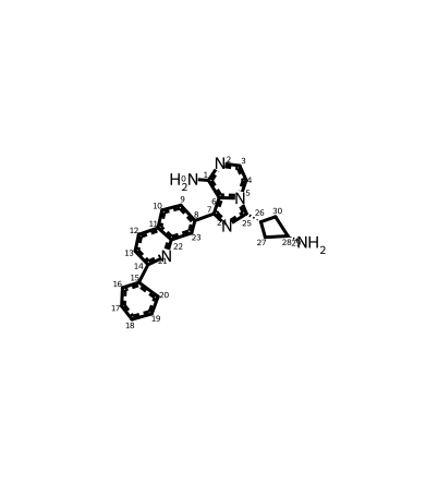 Nc1nccn2c1c(-c1ccc3ccc(-c4ccccc4)nc3c1)nc2[C@H]1C[C@@H](N)C1